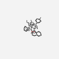 CCN(CC)N(c1ccccc1)C1(NC(C)=O)C(=O)N(c2ccc(C)cc2)N=C1c1cccc2ccccc12